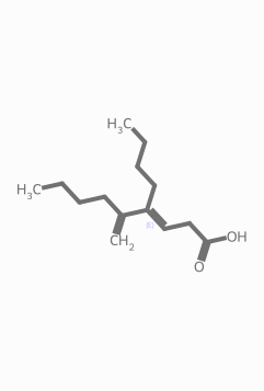 C=C(CCCC)/C(=C/CC(=O)O)CCCC